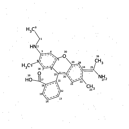 CCNc1cc2c(cc1C)C(c1ccccc1C(=O)O)=c1cc(C)c(=C(C)N)cc1O2